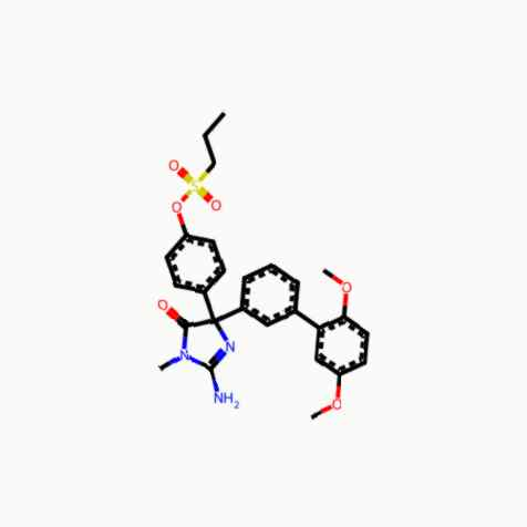 CCCS(=O)(=O)Oc1ccc(C2(c3cccc(-c4cc(OC)ccc4OC)c3)N=C(N)N(C)C2=O)cc1